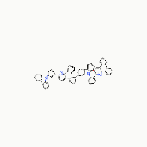 c1cc(-c2ccc3c4cccc(-c5ccc6c7ccccc7n(-c7ccccc7-c7ccc8c9ccccc9c9ccccc9c8n7)c6c5)c4c4ccccc4c3n2)cc(-n2c3ccccc3c3ccccc32)c1